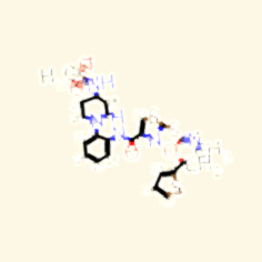 C=C(O/C(=N\C)Sc1nc(C(=O)Nc2ccccc2N2CCC(NS(C)(=O)=O)CC2)cs1)c1cccs1